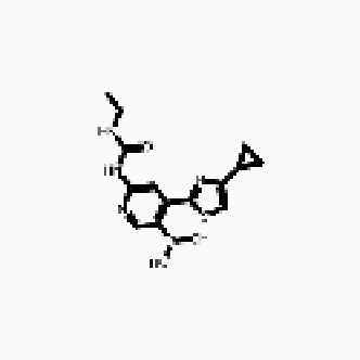 CCNC(=O)Nc1cc(-c2nc(C3CC3)cs2)c(B(O)O)cn1